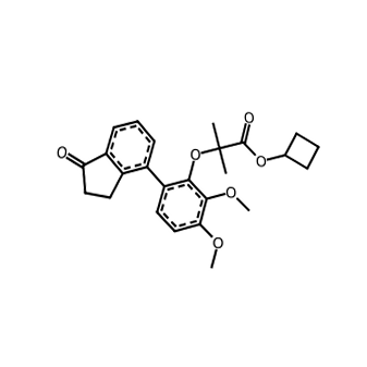 COc1ccc(-c2cccc3c2CCC3=O)c(OC(C)(C)C(=O)OC2CCC2)c1OC